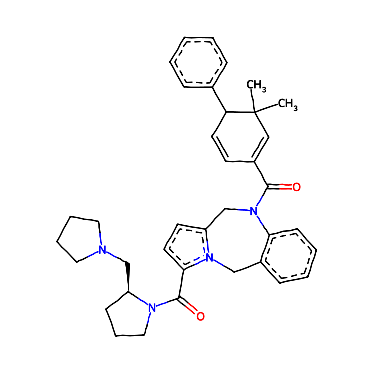 CC1(C)C=C(C(=O)N2Cc3ccc(C(=O)N4CCC[C@H]4CN4CCCC4)n3Cc3ccccc32)C=CC1c1ccccc1